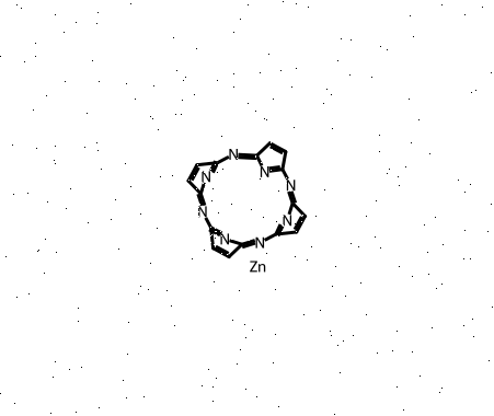 C1=C/C2=N/C3=NC(=N\C4=NC(=N\C5=NC(=N\C1=N2)/C=C5)/C=C4)/C=C3.[Zn]